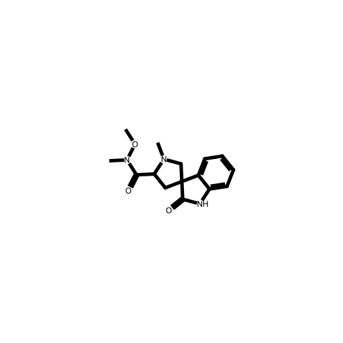 CON(C)C(=O)C1CC2(CN1C)C(=O)Nc1ccccc12